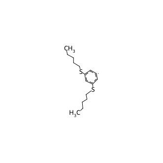 CCCCCSc1c[c]cc(SCCCCC)c1